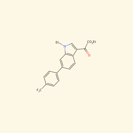 CCOC(=O)C(=O)c1cn(CC)c2cc(-c3ccc(C(F)(F)F)cc3)ccc12